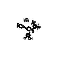 Cl.Cl.O=C(c1cc(C(F)(F)F)cc(C(F)(F)F)c1)N1CCN(CCN2CCC(F)(F)CC2)C[C@H]1Cc1ccc(Cl)c(O)c1